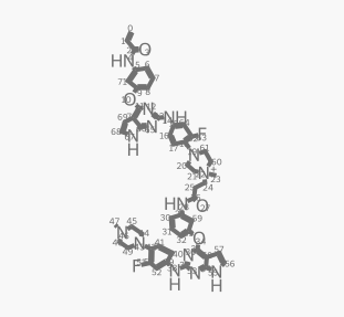 C=CC(=O)Nc1cccc(Oc2nc(Nc3ccc(N4CC[N+](C)(CCC(=O)Nc5cccc(Oc6nc(Nc7ccc(N8CCN(C)CC8)c(F)c7)nc7[nH]ccc67)c5)CC4)c(F)c3)nc3[nH]ccc23)c1